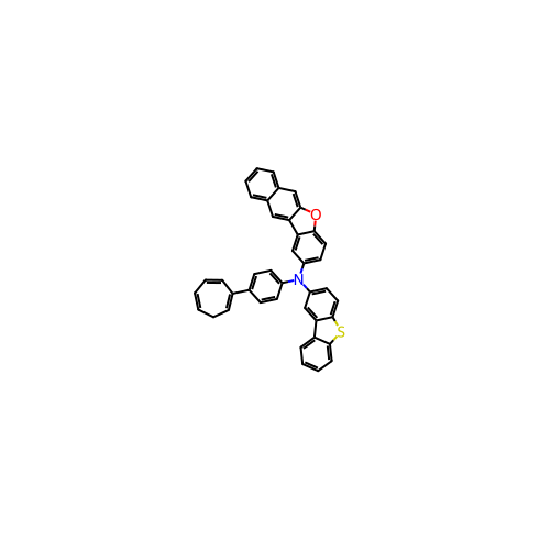 C1=CCC=C(c2ccc(N(c3ccc4oc5cc6ccccc6cc5c4c3)c3ccc4sc5ccccc5c4c3)cc2)C=C1